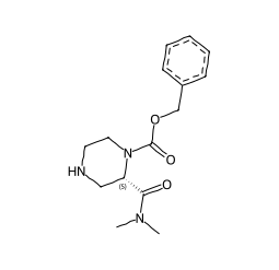 CN(C)C(=O)[C@@H]1CNCCN1C(=O)OCc1ccccc1